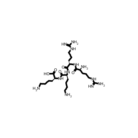 N=C(N)NCCC[C@H](NC(=O)[C@@H](N)CCCNC(=N)N)C(=O)N[C@@H](CCCCN)C(=O)N[C@@H](CCCCN)C(=O)O